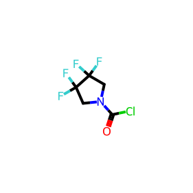 O=C(Cl)N1CC(F)(F)C(F)(F)C1